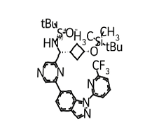 CC(C)(C)[S@@+]([O-])NC(c1cncc(-c2ccc3cnn(-c4cccc(C(F)(F)F)n4)c3c2)n1)[C@H]1C[C@@H](O[Si](C)(C)C(C)(C)C)C1